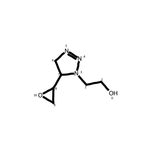 OCCN1N=NCC1C1CO1